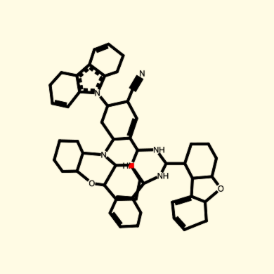 N#CC1C=C(C2NC(C3CC=CCC3)NC(C3CCCC4OC5CC=CC=C5C43)N2)C(N2C3CCCCC3OC3CCCCC32)CC1n1c2c(c3c1CCC=C3)CCC=C2